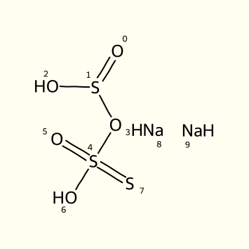 O=S(O)OS(=O)(O)=S.[NaH].[NaH]